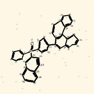 O=P(c1ccccc1)(c1ccc(-c2cc3ccccc3c3c2ccc2ccccc23)cc1)c1ccc2ccccc2c1